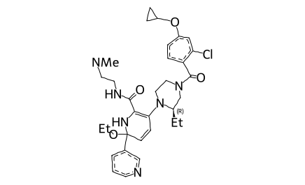 CCOC1(c2cccnc2)C=CC(N2CCN(C(=O)c3ccc(OC4CC4)cc3Cl)C[C@H]2CC)=C(C(=O)NCCNC)N1